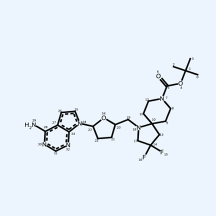 CC(C)(C)OC(=O)N1CCC2(CC1)CC(F)(F)CN2CC1CCC(n2ccc3c(N)ncnc32)O1